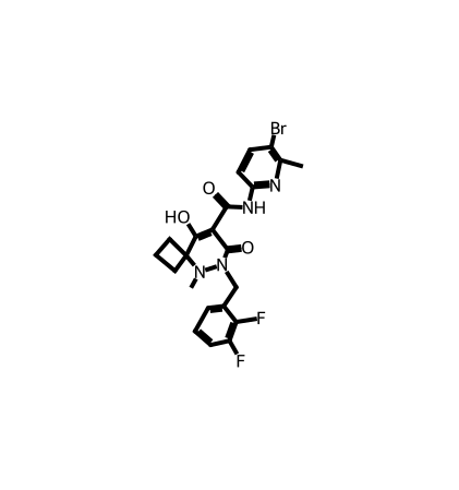 Cc1nc(NC(=O)C2=C(O)C3(CCC3)N(C)N(Cc3cccc(F)c3F)C2=O)ccc1Br